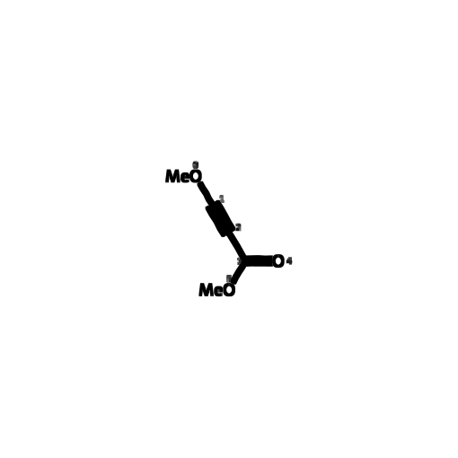 [CH2]OC#CC(=O)OC